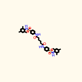 Cc1cc(C)c(NS(=O)(=O)c2ccc(NC(=O)CCCCC(=O)Nc3ccc(S(=O)(=O)Nc4c(C)cc(C)cc4C)cc3)cc2)c(C)c1